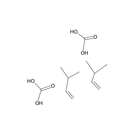 C=CC(C)C.C=CC(C)C.O=C(O)O.O=C(O)O